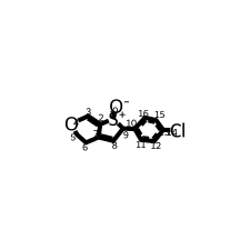 [O-][S+]1C2=COCCC2=CC1c1ccc(Cl)cc1